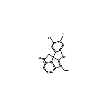 CCOc1ncccc1C1(CC(=O)O)C(=O)Nc2cc(F)c(Cl)cc21